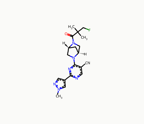 Cn1cc(-c2ncc(C#N)c(N3C[C@H]4C[C@H]3CN4C(=O)C(C)(C)CF)n2)cn1